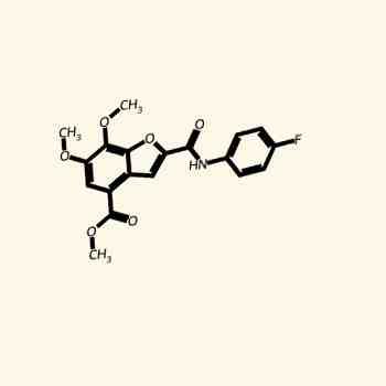 COC(=O)c1cc(OC)c(OC)c2oc(C(=O)Nc3ccc(F)cc3)cc12